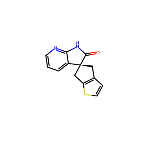 O=C1Nc2ncccc2[C@]12Cc1ccsc1C2